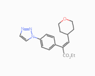 CCOC(=O)C(=CC1CCOCC1)c1ccc(-n2ccnn2)cc1